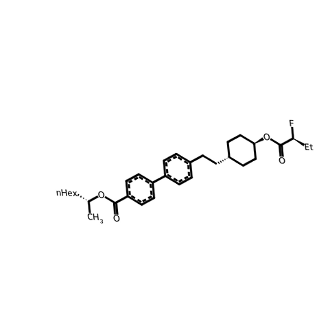 CCCCCC[C@@H](C)OC(=O)c1ccc(-c2ccc(CC[C@H]3CC[C@H](OC(=O)[C@@H](F)CC)CC3)cc2)cc1